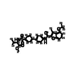 COC(=O)C(NS(=O)(=O)c1ccc(-c2ccc(NC(=O)c3oc4cccc(OC(C)C)c4c3C)cc2)cc1)C(C)C